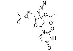 CC(=O)OC[C@@]1(CF)O[C@@H](n2ccc(=O)[nH]c2=O)CC1(N=[N+]=[N-])OC(C)=O